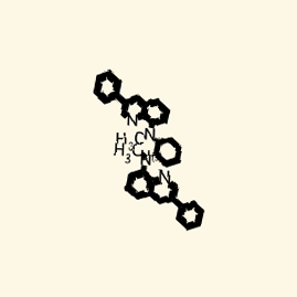 CN(c1cccc2cc(-c3ccccc3)cnc12)[C@H]1CCCC[C@@H]1N(C)c1cccc2cc(-c3ccccc3)cnc12